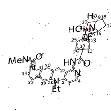 CCN(c1ccnc(NC(=O)c2ccc(CN3C4CC[C@@H]3C[C@](O)(C(F)(F)F)C4)cc2)c1)c1ccc2c(ccn2C(=O)NC)c1